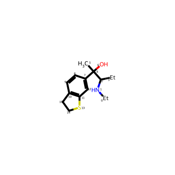 CCNC(CC)C(C)(O)c1ccc2c(c1)SCC2